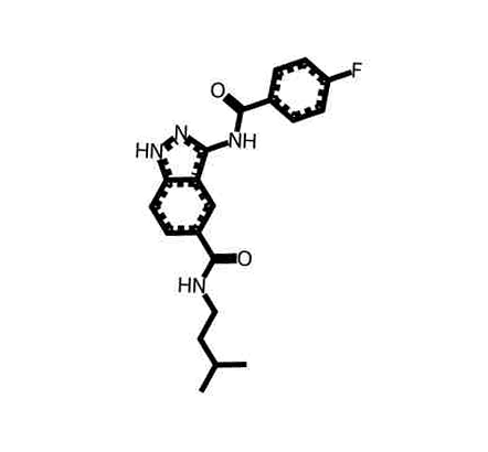 CC(C)CCNC(=O)c1ccc2[nH]nc(NC(=O)c3ccc(F)cc3)c2c1